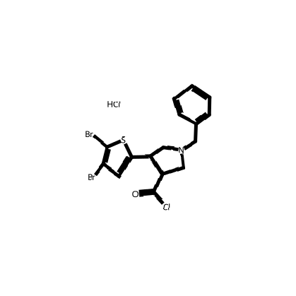 Cl.O=C(Cl)C1CN(Cc2ccccc2)CC1c1cc(Br)c(Br)s1